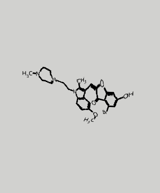 COc1ccc2c(c1)c(C=C1Oc3cc(O)cc(Br)c3C1=O)c(C)n2CCN1CCN(C)CC1